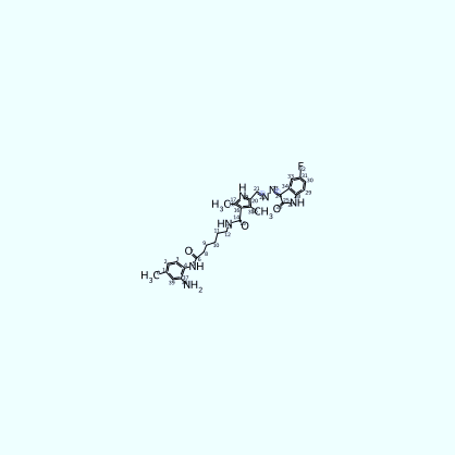 Cc1ccc(NC(=O)CCCCCNC(=O)c2c(C)[nH]c(/C=N/N=C3\C(=O)Nc4ccc(F)cc43)c2C)c(N)c1